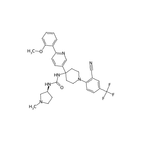 COc1ccccc1-c1ccc(C2(NC(=O)N[C@H]3CCN(C)C3)CCN(c3ccc(C(F)(F)F)cc3C#N)CC2)cn1